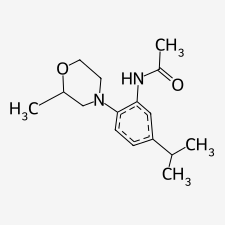 CC(=O)Nc1cc(C(C)C)ccc1N1CCOC(C)C1